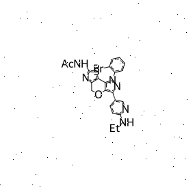 CCNc1ccc(-c2nn(-c3ccccc3Br)c3c2OCc2nc(NC(C)=O)sc2-3)cn1